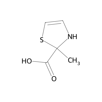 CC1(C(=O)O)NC=CS1